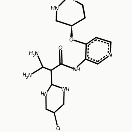 NC(N)C(C(=O)Nc1cnccc1O[C@@H]1CCCNC1)C1NCC(Cl)CN1